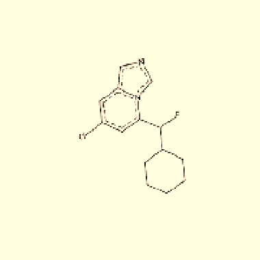 FC(c1cc(Cl)cc2cncn12)C1CCCCC1